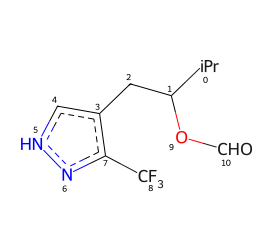 CC(C)C(Cc1c[nH]nc1C(F)(F)F)OC=O